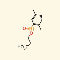 Cc1ccc(C)c([PH](=O)OCCC(=O)O)c1